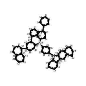 c1ccc(-c2ccc(N(c3ccc(-n4c5ccccc5c5cc6ccccc6cc54)cc3)c3ccc(-c4cccc5ccccc45)cc3-c3ccccc3)cc2)cc1